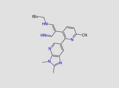 Cc1nc2cc(-c3nc(C#N)ccc3/C(C=N)=C/NCC(C)(C)C)cnc2n1C